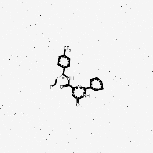 O=C(N[C@H](CCF)c1ccc(C(F)(F)F)cc1)c1cc(=O)[nH]c(-c2ccccc2)n1